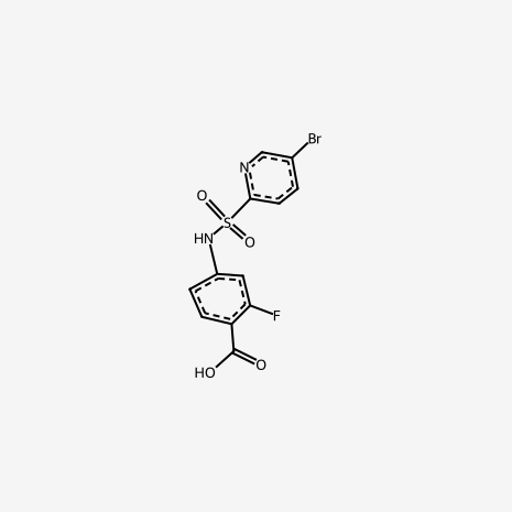 O=C(O)c1ccc(NS(=O)(=O)c2ccc(Br)cn2)cc1F